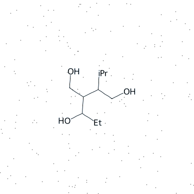 CCC(O)C(CO)C(CO)C(C)C